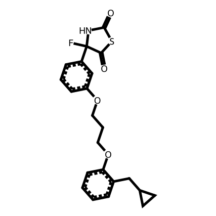 O=C1NC(F)(c2cccc(OCCCOc3ccccc3CC3CC3)c2)C(=O)S1